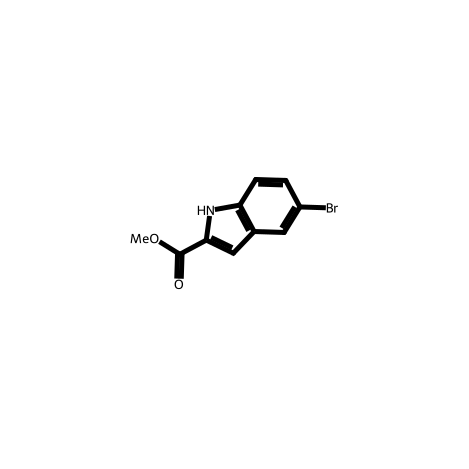 COC(=O)c1cc2cc(Br)ccc2[nH]1